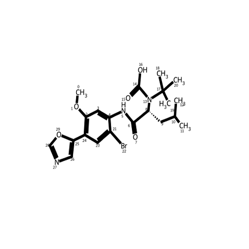 COc1cc(NC(=O)[C@@H](CC(C)C)N(C(=O)O)C(C)(C)C)c(Br)cc1-c1cnco1